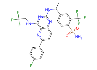 CC(Nc1nc(NCC(F)(F)F)c2nc(-c3ccc(F)cc3)ccc2n1)c1ccc(S(N)(=O)=O)c(C(F)(F)F)c1